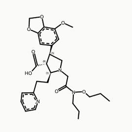 CCCON(CCC)C(=O)CN1C[C@H](c2cc(OC)c3c(c2)OCO3)[C@@H](C(=O)O)[C@@H]1CCc1ccccn1